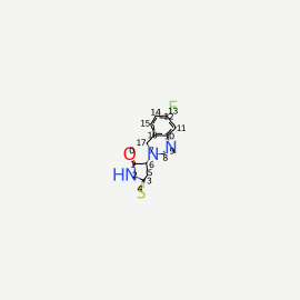 O=C1NC(=S)CC1N1C=Nc2cc(F)ccc2C1